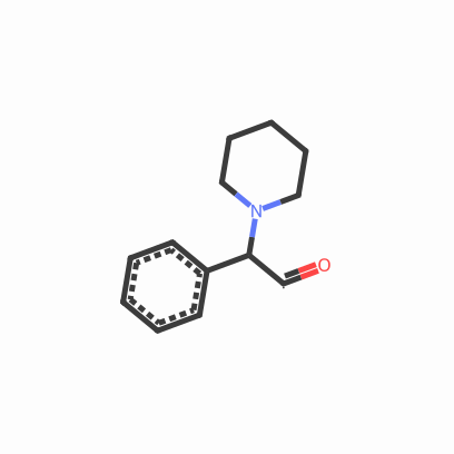 O=[C]C(c1ccccc1)N1CCCCC1